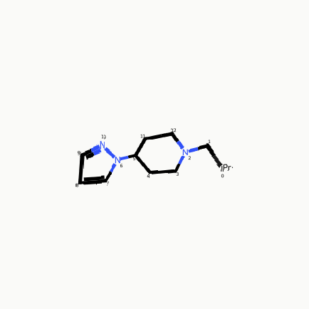 C[C](C)CN1CCC(n2cccn2)CC1